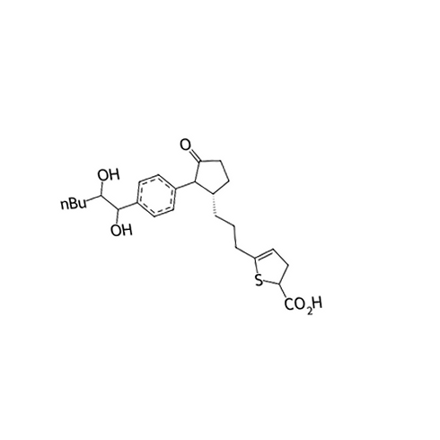 CCCCC(O)C(O)c1ccc(C2C(=O)CC[C@@H]2CCCC2=CCC(C(=O)O)S2)cc1